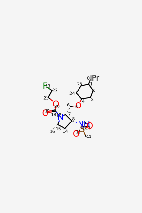 CC(C)C1CCC(OC[C@@H]2[C@H](NS(C)(=O)=O)C[C@H](C)N2C(=O)OCCF)CC1